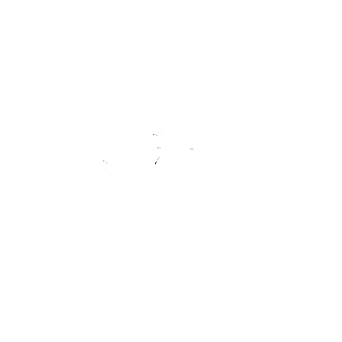 CCCCCC(C)(CC=C[C@H]1CC[C@H](O)[C@@H]1CCSc1nc(C(=O)O)cs1)OC1CCCCO1